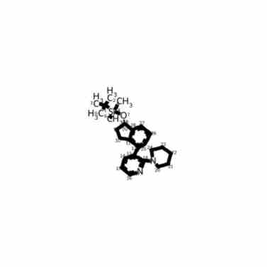 CC(C)(C)[Si](C)(C)O[C@H]1CCc2c(-c3cccnc3N3CCCCC3)cccc21